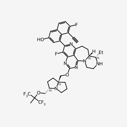 C#Cc1c(F)ccc2cc(O)cc(-c3nc4c5c(nc(OC[C@@]67CCCN6[C@H](COC(C)(C(F)(F)F)C(F)(F)F)CC7)nc5c3F)N3CCN[C@@H](CC)[C@H]3CC4)c12